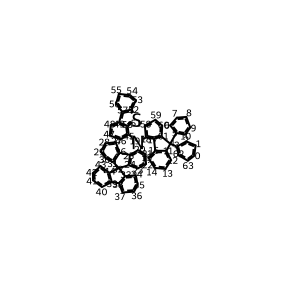 c1ccc(C2(c3ccccc3)c3ccccc3-c3c(N(c4cccc5c4-c4ccccc4C54c5ccccc5-c5ccccc54)c4cccc5c4sc4ccccc45)cccc32)cc1